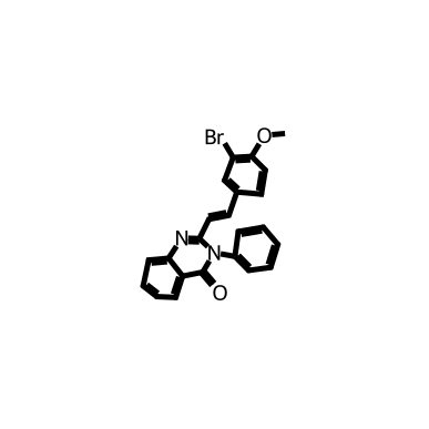 COc1ccc(C=Cc2nc3ccccc3c(=O)n2-c2ccccc2)cc1Br